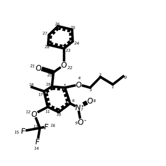 CCCCOc1c([N+](=O)[O-])cc(OC(F)(F)F)c(C)c1C(=O)Oc1ccccc1